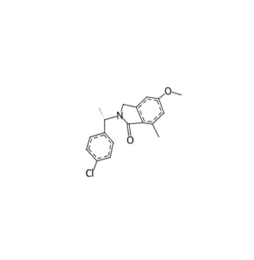 COc1cc(C)c2c(c1)CN([C@@H](C)c1ccc(Cl)cc1)C2=O